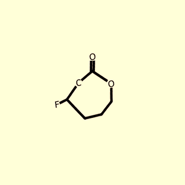 O=C1CC(F)CCCO1